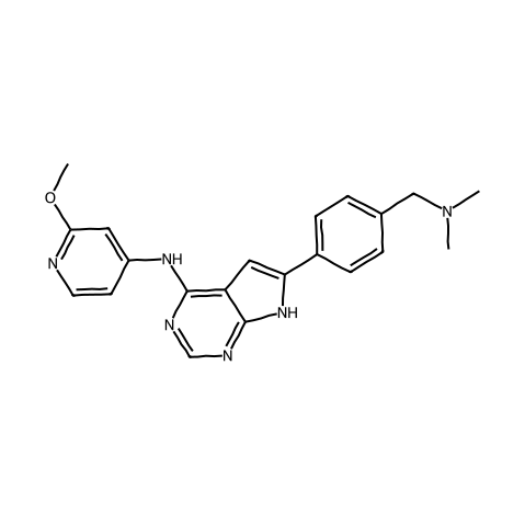 COc1cc(Nc2ncnc3[nH]c(-c4ccc(CN(C)C)cc4)cc23)ccn1